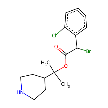 CC(C)(OC(=O)C(Br)c1ccccc1Cl)C1CCNCC1